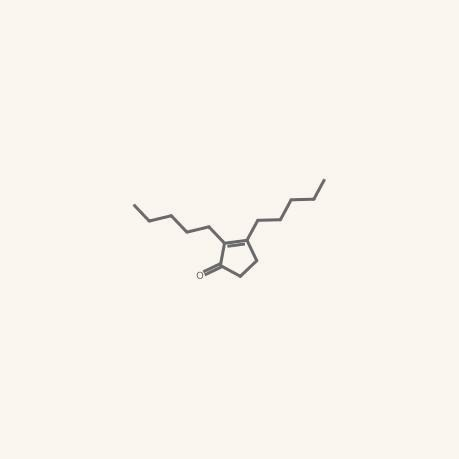 CCCCCC1=C(CCCCC)C(=O)CC1